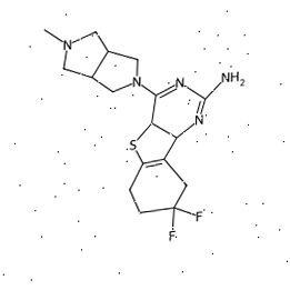 CN1CC2CN(C3=NC(N)=NC4C5=C(CCC(F)(F)C5)SC34)CC2C1